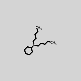 CCCCCN(CCCCC)C1CCCCC1